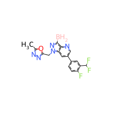 Bc1nn(Cc2nnc(C)o2)c2cc(-c3ccc(F)c(C(F)F)c3)cnc12